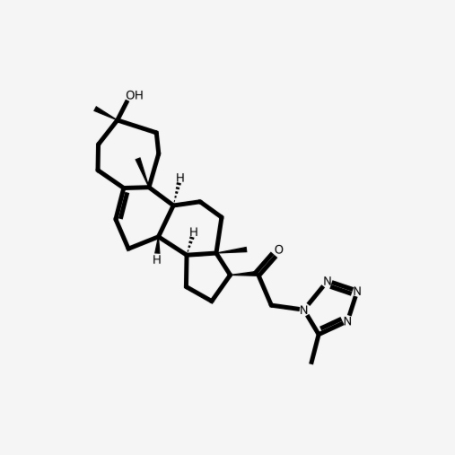 Cc1nnnn1CC(=O)[C@H]1CC[C@H]2[C@@H]3CC=C4CC[C@](C)(O)CC[C@]4(C)[C@H]3CC[C@]12C